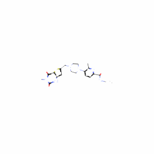 Cc1nc(C(=O)NC#N)ccc1N1CCN(Cc2cc3[nH]c(=O)n(C)c(=O)c3s2)CC1